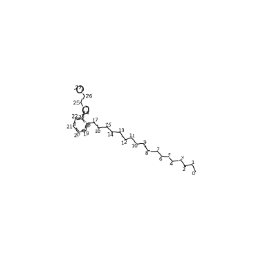 CCCCCCCCCCCCCCCCCCc1ccccc1OCC[O]